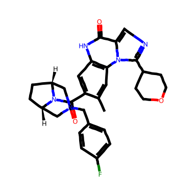 Cc1cc2c(cc1C(=O)N1[C@@H]3CC[C@H]1CN(Cc1ccc(F)cc1)C3)[nH]c(=O)c1cnc(C3CCOCC3)n12